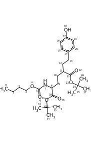 CCCCOC(=O)NC(CCC(CCc1ccc(O)cc1)C(=O)OC(C)(C)C)C(=O)OC(C)(C)C